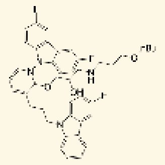 CCCCOCCCNCC(O)COC1C(CCCn2c3ccccc3c3cc(F)ccc32)=CC=CN1n1c2ccc(F)cc2c2cc(F)ccc21